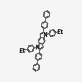 CCc1ccc(-n2c(-c3ccc(-c4ccccc4)cc3)cc3cc4c(cc(-c5ccc(-c6ccccc6)cc5)n4-c4ccc(CC)cc4)cc32)cc1